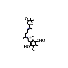 C/C(=C\Cc1c(O)c(Cl)c(C)c(C=O)c1O)CC/C=C(\C)C1CC(=O)C(C)(C)O1